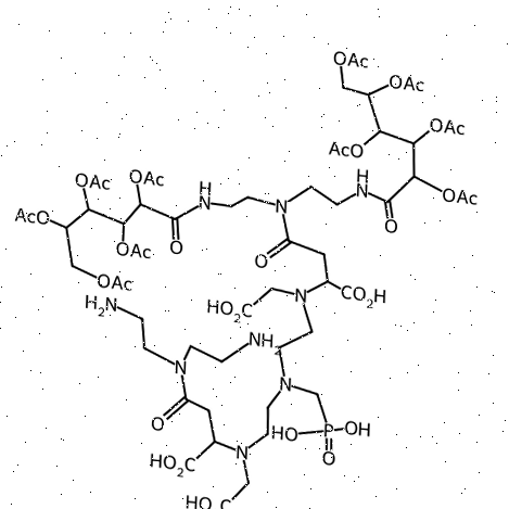 CC(=O)OCC(OC(C)=O)C(OC(C)=O)C(OC(C)=O)C(OC(C)=O)C(=O)NCCN(CCNC(=O)C(OC(C)=O)C(OC(C)=O)C(OC(C)=O)C(COC(C)=O)OC(C)=O)C(=O)CC(C(=O)O)N(CCN(CCN(CC(=O)O)C(CC(=O)N(CCN)CCN)C(=O)O)CP(=O)(O)O)CC(=O)O